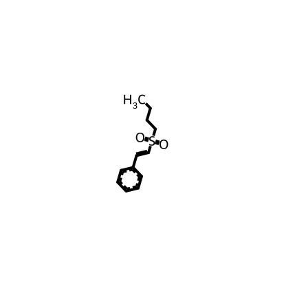 CCCCS(=O)(=O)C=Cc1ccccc1